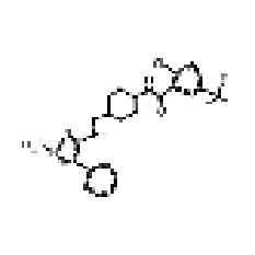 Cn1cc(-c2ccccc2)c(NCC2CCC(NC(=O)c3cc(C(F)(F)F)ccc3Cl)CC2)n1